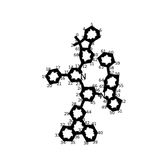 CC1(C)c2ccccc2-c2ccc(-c3cc(-c4ccccc4)cc(-c4cc(-c5ccc6c7ccccc7c7ccccc7c6c5)cc(-n5c6ccccc6c6ccc(-c7ccccc7)cc65)c4)n3)cc21